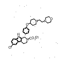 CCOC(=O)N1CCc2c([nH]c3ccc(Cl)cc23)[C@@H]1c1ccc(OC2CCN(CCN3CCOCC3)CC2)cc1